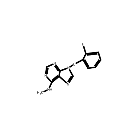 CNc1ncnc2c1ncn2Cc1ccccc1F